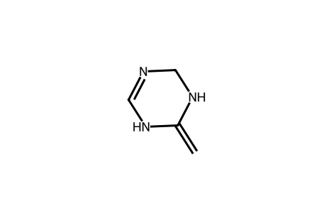 C=C1NC=NCN1